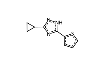 c1csc(-c2nc(C3CC3)n[nH]2)c1